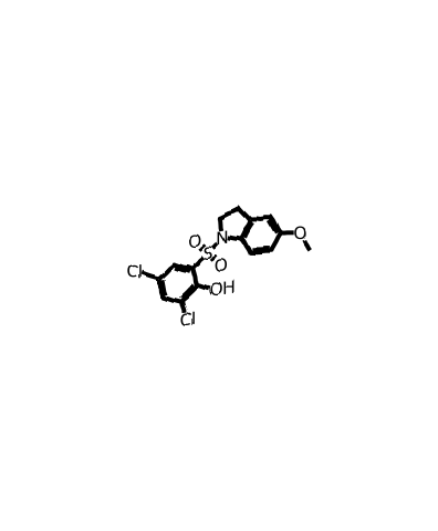 COc1ccc2c(c1)CCN2S(=O)(=O)c1cc(Cl)cc(Cl)c1O